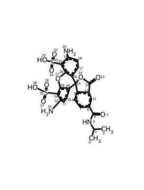 CC(C)NC(=O)c1ccc2c(c1)C(=O)OC21c2ccc(N)c(S(=O)(=O)O)c2Oc2c1ccc(N)c2S(=O)(=O)O